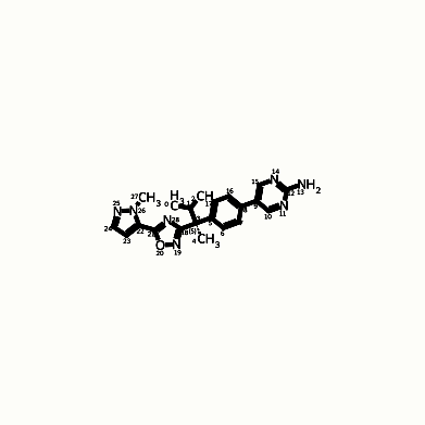 CC(C)[C@@](C)(c1ccc(-c2cnc(N)nc2)cc1)c1noc(-c2ccnn2C)n1